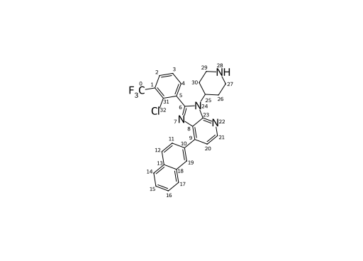 FC(F)(F)c1cccc(-c2nc3c(-c4ccc5ccccc5c4)ccnc3n2C2CCNCC2)c1Cl